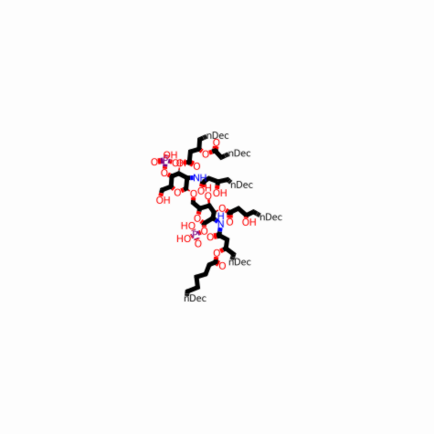 CCCCCCCCCCCCCCCC(=O)OC(CCCCCCCCCCC)CC(=O)NC1C(OP(=O)(O)O)OC(CO[C@@H]2OC(CO)C(OP(=O)(O)O)[C@H](OC(=O)CC(CCCCCCCCCCC)OC(=O)CCCCCCCCCCC)C2NC(=O)CC(O)CCCCCCCCCCC)[C@@H](O)[C@@H]1OC(=O)CC(O)CCCCCCCCCCC